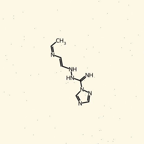 C/C=N\C=CNNC(=N)n1cncn1